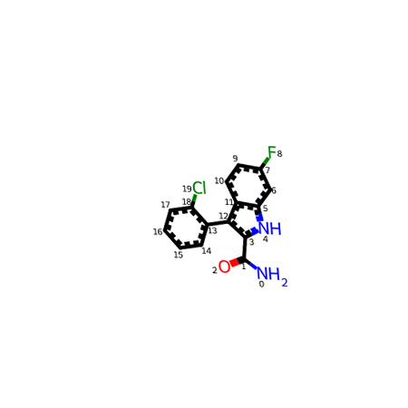 NC(=O)c1[nH]c2cc(F)ccc2c1-c1ccccc1Cl